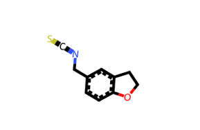 S=C=NCc1ccc2c(c1)CCO2